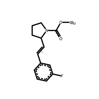 CC(C)(C)OC(=O)N1CCCC1/C=C/c1cccc(F)c1